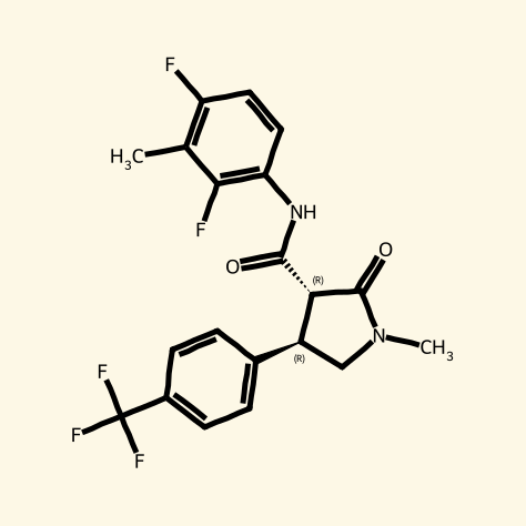 Cc1c(F)ccc(NC(=O)[C@@H]2C(=O)N(C)C[C@H]2c2ccc(C(F)(F)F)cc2)c1F